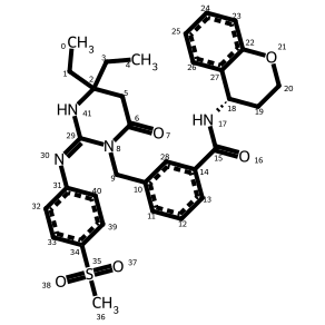 CCC1(CC)CC(=O)N(Cc2cccc(C(=O)N[C@H]3CCOc4ccccc43)c2)/C(=N\c2ccc(S(C)(=O)=O)cc2)N1